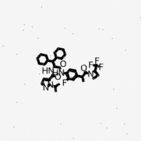 CC(C(=O)N1CCC1C(F)(F)F)c1ccc(NC(=O)C(NC(=O)c2ccnn2C(C)C)C(C2CCCCC2)C2CCCCC2)c(F)c1